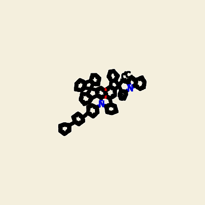 c1ccc(-c2ccc(-c3ccc(N(c4ccccc4-c4ccc5c(c4)C4(c6ccccc6-5)c5ccccc5-n5c6ccccc6c6cccc4c65)c4cccc5c4-c4ccccc4C54c5ccccc5-c5ccccc54)cc3)cc2)cc1